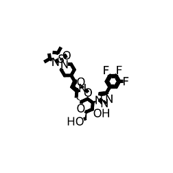 CO[C@@H]1[C@@H](n2cc(-c3cc(F)c(F)c(F)c3)nn2)[C@@H](O)[C@@H](CO)O[C@@H]1Cc1cc(C2CCN(S(=O)(=NC(C)C)C(C)C)CC2)on1